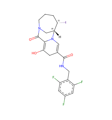 O=C(NCc1c(F)cc(F)cc1F)C1=CN2C(=C(O)C1)C(=O)N1CCC[C@H](I)[C@H]2C1